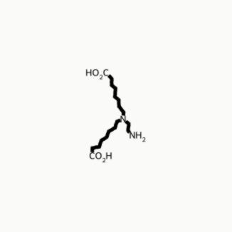 NCCN(CCCCCCCC(=O)O)CCCCCCCC(=O)O